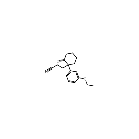 CCOc1cccc(C2(CCC#N)CCCCC2=O)c1